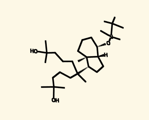 CC(C)(O)CCCC(C)(CCCC(C)(C)O)[C@H]1CC[C@H]2[C@@H](O[Si](C)(C)C(C)(C)C)CCC[C@]12C